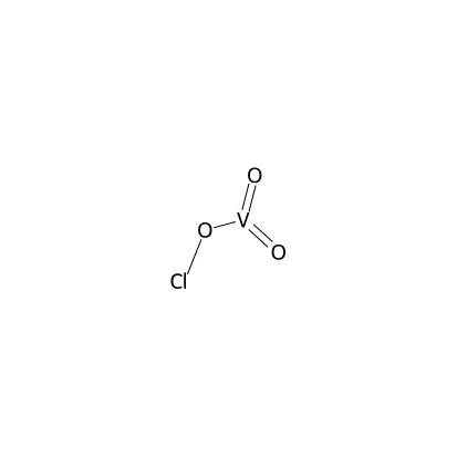 [O]=[V](=[O])[O]Cl